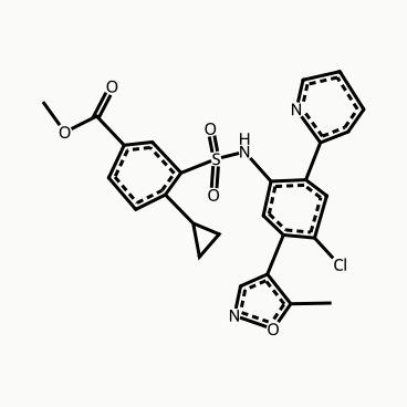 COC(=O)c1ccc(C2CC2)c(S(=O)(=O)Nc2cc(-c3cnoc3C)c(Cl)cc2-c2ccccn2)c1